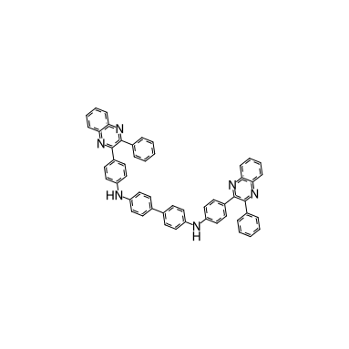 c1ccc(-c2nc3ccccc3nc2-c2ccc(Nc3ccc(-c4ccc(Nc5ccc(-c6nc7ccccc7nc6-c6ccccc6)cc5)cc4)cc3)cc2)cc1